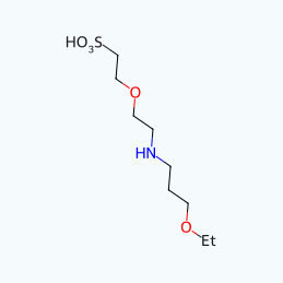 CCOCCCNCCOCCS(=O)(=O)O